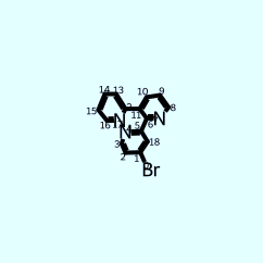 Brc1ccnc(-c2ncccc2-c2ccccn2)c1